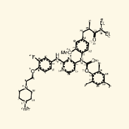 CCCN1CCN(CCOc2ccc(Nc3nccc(N(C(=O)Oc4c(C)cc(C)cc4C)c4ccc(CC(C)C(=O)N(CC)CC)cc4OC)n3)cc2F)CC1